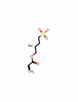 C=CC(=O)OCCCCS(=O)(=O)[O-].[Na+]